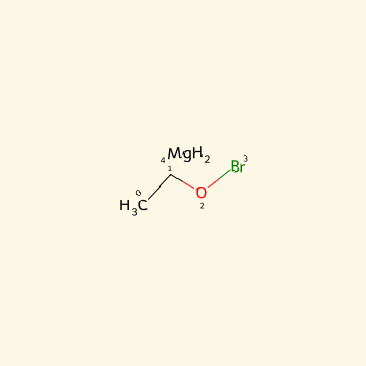 CCOBr.[MgH2]